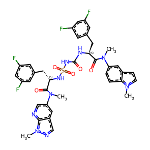 CN(C(=O)[C@H](Cc1cc(F)cc(F)c1)NC(=O)NS(=O)(=O)N[C@@H](Cc1cc(F)cc(F)c1)C(=O)N(C)c1cnc2c(cnn2C)c1)c1ccc2c(ccn2C)c1